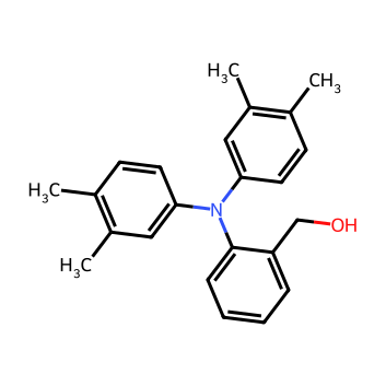 Cc1ccc(N(c2ccc(C)c(C)c2)c2ccccc2CO)cc1C